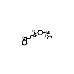 CCC(C)S(=O)(=O)NC1CCC(C(=O)NCCc2coc3ccccc23)CC1